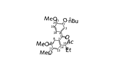 CCCCOc1cc(C(=O)c2cc(OC)c(OC)cc2C(CC)C(C)=O)ccc1OC